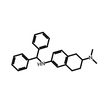 CN(C)C1CCc2cc(NC(c3ccccc3)c3ccccc3)ccc2C1